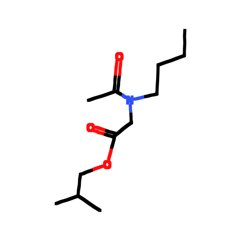 CCCCN(CC(=O)OCC(C)C)C(C)=O